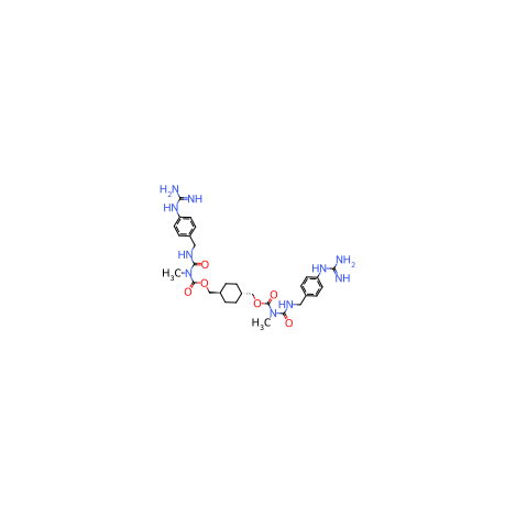 CN(C(=O)NCc1ccc(NC(=N)N)cc1)C(=O)OC[C@H]1CC[C@H](COC(=O)N(C)C(=O)NCc2ccc(NC(=N)N)cc2)CC1